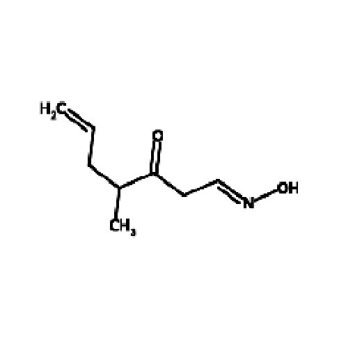 C=CCC(C)C(=O)CC=NO